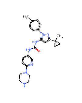 Cc1ccc(-n2nc(C3(C)CC3)cc2NC(=O)Nc2ccc(N3CCNCC3)nc2)cc1